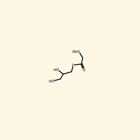 CSCC(=O)OCC(O)CO